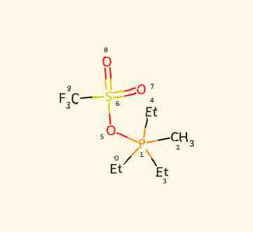 CCP(C)(CC)(CC)OS(=O)(=O)C(F)(F)F